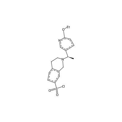 CCOc1ccc([C@@H](C)N2CCc3ccc(S(=O)(=O)Cl)cc3C2)cn1